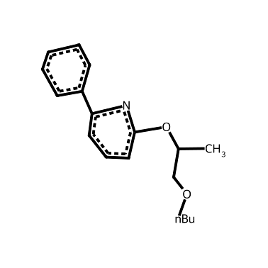 CCCCOCC(C)Oc1cccc(-c2ccccc2)n1